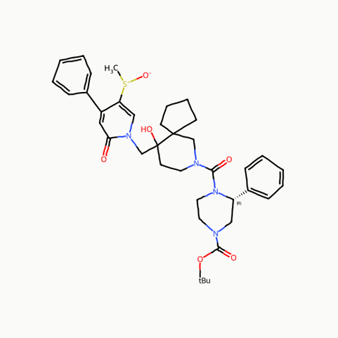 C[S+]([O-])c1cn(CC2(O)CCN(C(=O)N3CCN(C(=O)OC(C)(C)C)C[C@H]3c3ccccc3)CC23CCCC3)c(=O)cc1-c1ccccc1